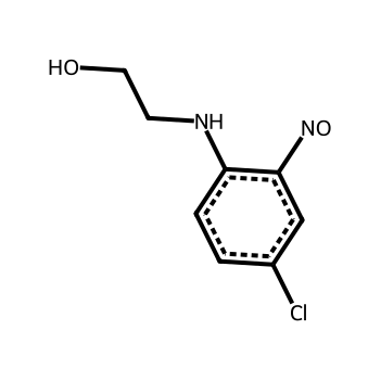 O=Nc1cc(Cl)ccc1NCCO